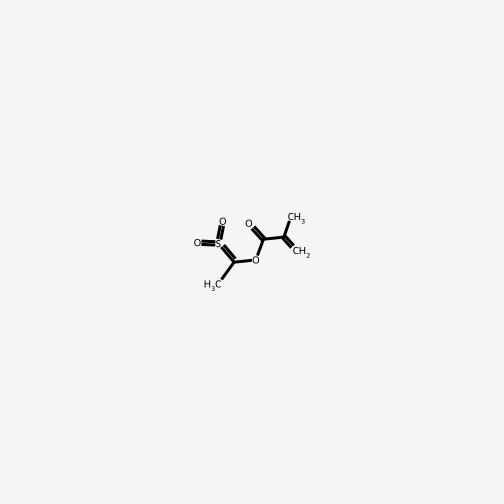 C=C(C)C(=O)OC(C)=S(=O)=O